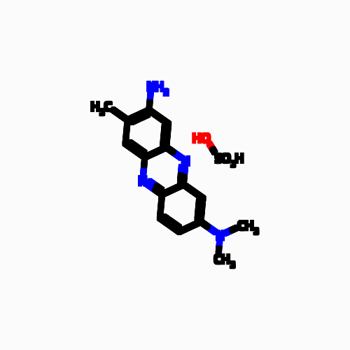 Cc1cc2nc3ccc(N(C)C)cc3nc2cc1N.O=S(=O)(O)O